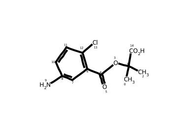 CC(C)(OC(=O)c1cc(N)ccc1Cl)C(=O)O